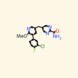 COc1ncc(Cc2cnc(C(N)=O)nc2)cc1-c1ccc(F)c(Cl)c1